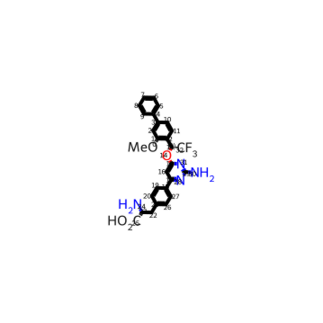 COc1cc(-c2ccccc2)ccc1[C@@H](Oc1cc(-c2ccc(CC(N)C(=O)O)cc2)nc(N)n1)C(F)(F)F